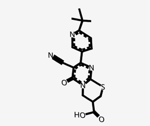 CC(C)(C)c1ccc(-c2nc3n(c(=O)c2C#N)CC(C(=O)O)CS3)cn1